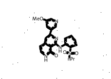 CCCS(=O)(=O)c1ccccc1Nc1nc(-c2cncc(OC)c2)cc2cc[nH]c(=O)c12